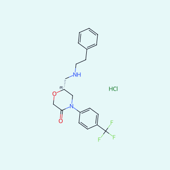 Cl.O=C1CO[C@H](CNCCc2ccccc2)CN1c1ccc(C(F)(F)F)cc1